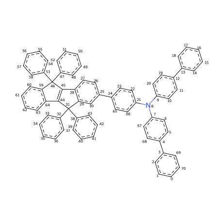 c1ccc(-c2ccc(N(c3ccc(-c4ccccc4)cc3)c3ccc(-c4ccc5c(c4)C(c4ccccc4)(c4ccccc4)C4=C5C(c5ccccc5)(c5ccccc5)c5ccccc54)cc3)cc2)cc1